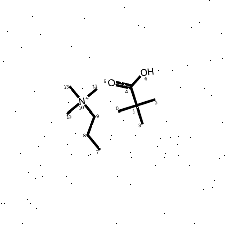 CC(C)(C)C(=O)O.CCC[N+](C)(C)C